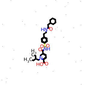 CCC(CC)CN1CC(C(=O)NS(=O)(=O)c2ccc(CCNC(=O)CC3CCCCC3)cc2)=CC=C1C(=O)O